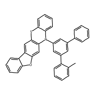 Cc1ccccc1-c1cc(-c2ccccc2)cc(N2c3ccccc3Sc3cc4c(cc32)oc2ccccc24)c1